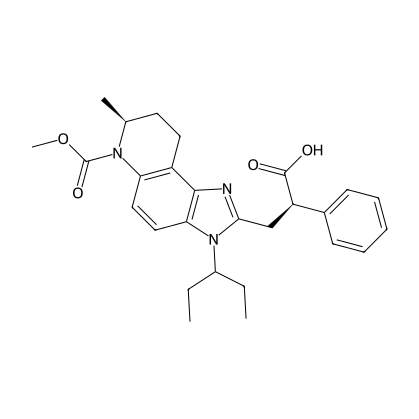 CCC(CC)n1c(C[C@@H](C(=O)O)c2ccccc2)nc2c3c(ccc21)N(C(=O)OC)[C@@H](C)CC3